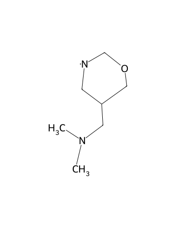 CN(C)CC1C[N]COC1